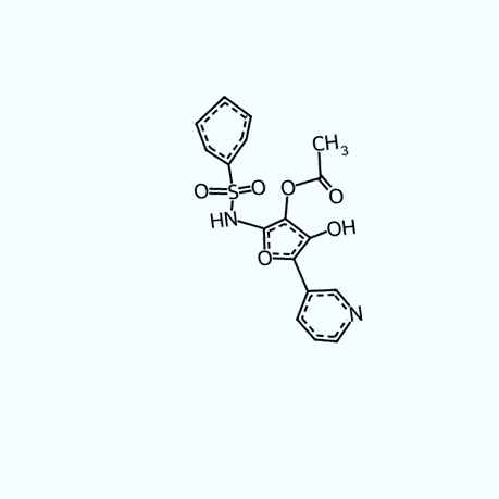 CC(=O)Oc1c(NS(=O)(=O)c2ccccc2)oc(-c2cccnc2)c1O